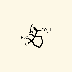 C=C(C(=O)O)C1(C)CCCCC1(C)C